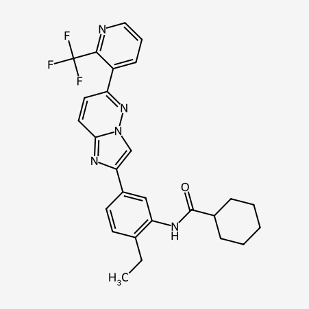 CCc1ccc(-c2cn3nc(-c4cccnc4C(F)(F)F)ccc3n2)cc1NC(=O)C1CCCCC1